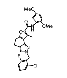 COc1ccc(OC)c(NC(=O)c2oc3c(c2C)-c2nn(Cc4c(F)cccc4Cl)cc2CC3)c1